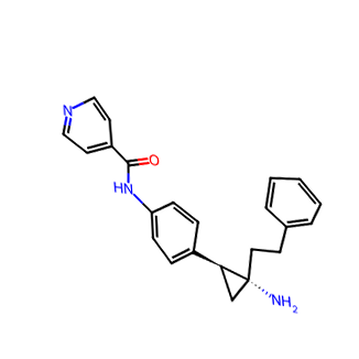 N[C@]1(CCc2ccccc2)C[C@H]1c1ccc(NC(=O)c2ccncc2)cc1